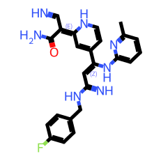 Cc1cccc(N/C(=C\C(=N)NCc2ccc(F)cc2)C2=C/C(=C(/C=N)C(N)=O)NC=C2)n1